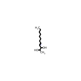 CCCCCCC/C=C/C(O)C(C)O